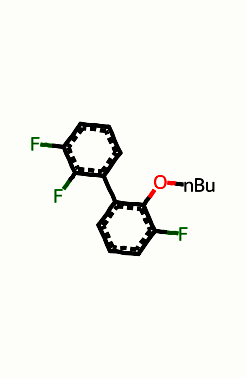 CCCCOc1c(F)cccc1-c1cccc(F)c1F